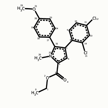 CCOC(=O)c1cc(-c2ccc(Cl)cc2Cl)c(-c2ccc(OC)cc2)n1C